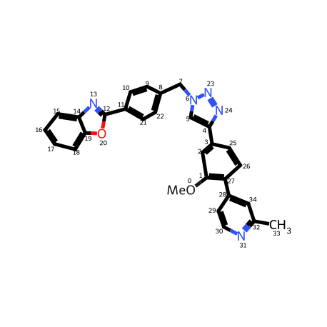 COc1cc(-c2cn(Cc3ccc(-c4nc5ccccc5o4)cc3)nn2)ccc1-c1ccnc(C)c1